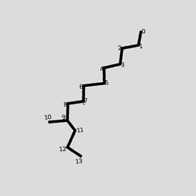 CCCCCCC[CH]CC(C)CCC